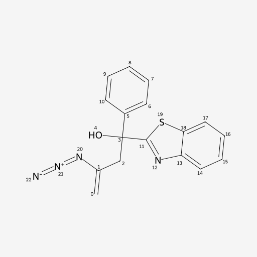 C=C(CC(O)(c1ccccc1)c1nc2ccccc2s1)N=[N+]=[N-]